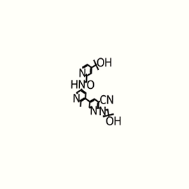 Cc1ncc(NC(=O)c2cc(C(C)(C)O)ccn2)cc1-c1cnc(N2CC(C)(O)C2)c(C#N)c1